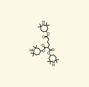 CC1(C)CCC(OC(=O)CCCC(C(=O)OC2CCC(C)(C)NC(C)(C)C2)C(=O)OC2CCC(C)(C)NC(C)(C)C2)CC(C)(C)N1